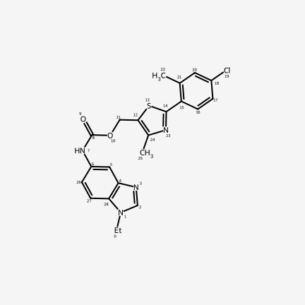 CCn1cnc2cc(NC(=O)OCc3sc(-c4ccc(Cl)cc4C)nc3C)ccc21